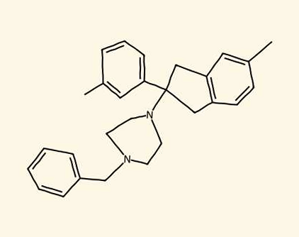 Cc1cccc(C2(N3CCN(Cc4ccccc4)CC3)Cc3ccc(C)cc3C2)c1